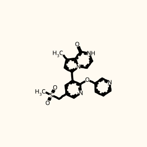 Cc1cc(-c2cc(CS(C)(=O)=O)cnc2Oc2cccnc2)n2cc[nH]c(=O)c12